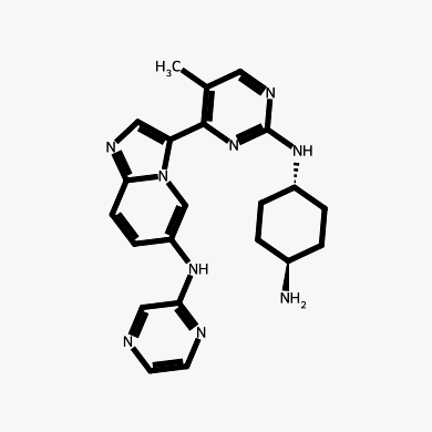 Cc1cnc(N[C@H]2CC[C@H](N)CC2)nc1-c1cnc2ccc(Nc3cnccn3)cn12